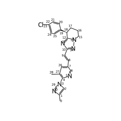 Cc1cn(-c2ncc(/C=C/c3nc4n(n3)CCC[C@@H]4c3ccc(Cl)cc3)cc2C)cn1